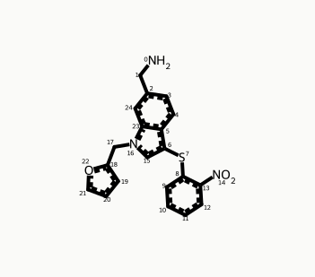 NCc1ccc2c(Sc3ccccc3[N+](=O)[O-])cn(Cc3ccco3)c2c1